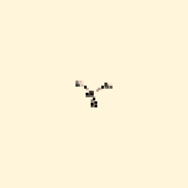 C[CH2][Zn](=[O])[CH2]C